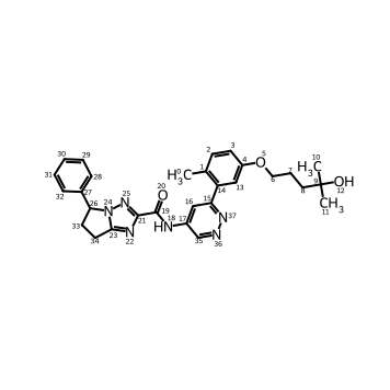 Cc1ccc(OCCCC(C)(C)O)cc1-c1cc(NC(=O)c2nc3n(n2)C(c2ccccc2)CC3)cnn1